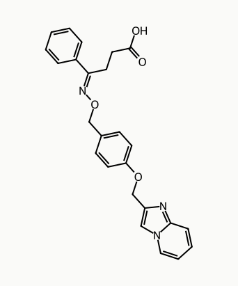 O=C(O)CC/C(=N\OCc1ccc(OCc2cn3ccccc3n2)cc1)c1ccccc1